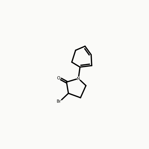 O=C1C(Br)CCN1C1=CC=CCC1